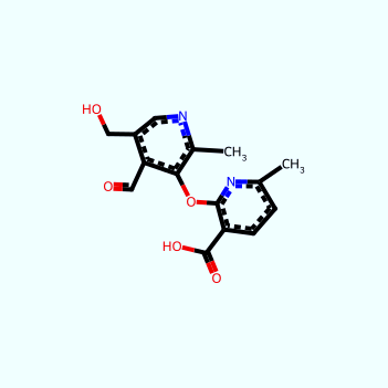 Cc1ccc(C(=O)O)c(Oc2c(C)ncc(CO)c2C=O)n1